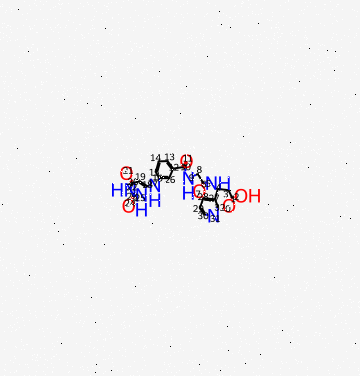 O=C(O)CC(NC(=O)CNC(=O)c1cccc(Nc2cc(=O)[nH]c(=O)[nH]2)c1)c1cccnc1